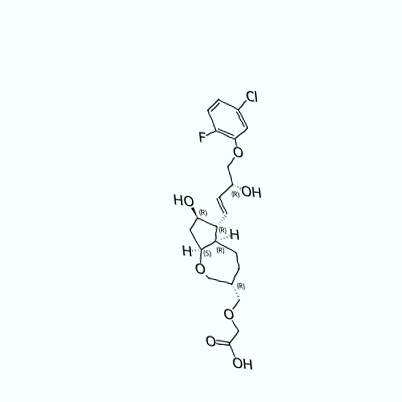 O=C(O)COC[C@H]1CC[C@@H]2[C@@H](C=C[C@@H](O)COc3cc(Cl)ccc3F)[C@H](O)C[C@@H]2OC1